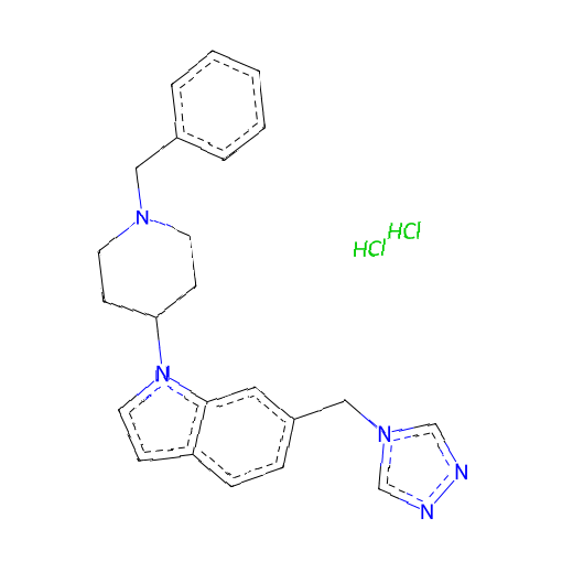 Cl.Cl.c1ccc(CN2CCC(n3ccc4ccc(Cn5cnnc5)cc43)CC2)cc1